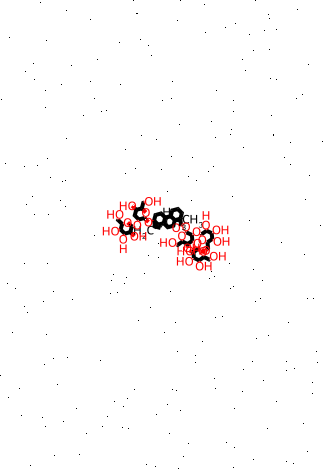 C=C1C[C@@]23CCC4[C@](C)(C(=O)OC5OC(CO)C(O)C(OC6OC(CO)C(O)C(O)C6O)C5OC5OC(CO)C(O)C(O)C5O)CCC[C@@]4(C)[C@@H]2CC[C@]1(OC1OC(CO)C(O)CC1OC1OC(CO)C(O)C(O)C1O)C3